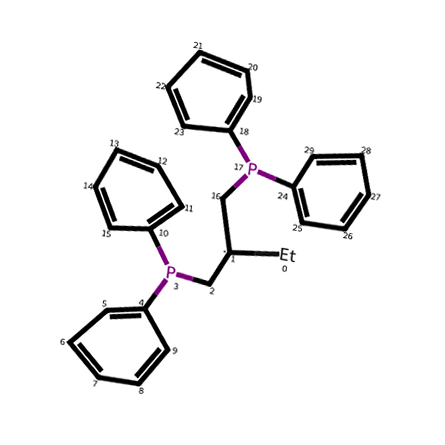 CC[C](CP(c1ccccc1)c1ccccc1)CP(c1ccccc1)c1ccccc1